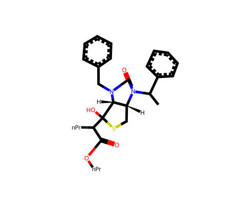 CCCOC(=O)C(CCC)C1(O)SC[C@@H]2[C@H]1N(Cc1ccccc1)C(=O)N2C(C)c1ccccc1